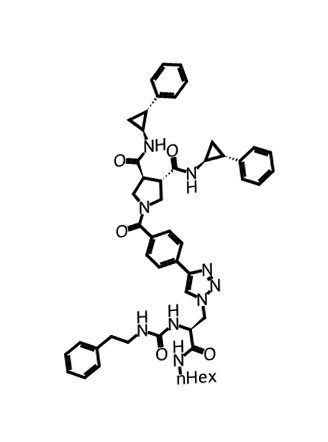 CCCCCCNC(=O)[C@H](Cn1cc(-c2ccc(C(=O)N3C[C@@H](C(=O)N[C@H]4C[C@@H]4c4ccccc4)[C@H](C(=O)N[C@H]4C[C@@H]4c4ccccc4)C3)cc2)nn1)NC(=O)NCCc1ccccc1